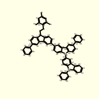 Cc1cc(C)c(CCC2c3ccc(-c4ccccc4)cc3-c3cc(-c4ccc5c(c4)c4cc(-c6ccccc6)ccc4n5-c4ccc5c(c4)c4ccccc4n5-c4ccccc4)ccc32)c(C)c1